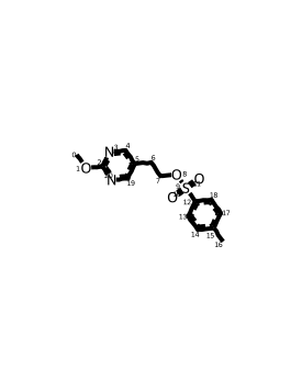 COc1ncc(CCOS(=O)(=O)c2ccc(C)cc2)cn1